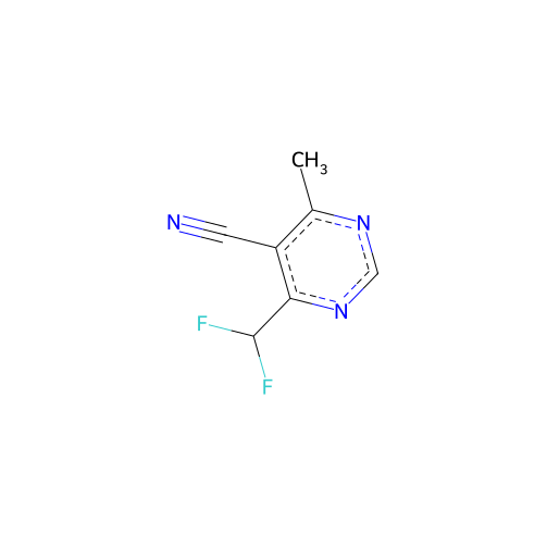 Cc1ncnc(C(F)F)c1C#N